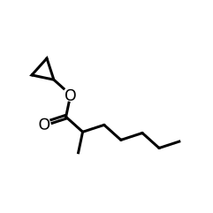 CCCCCC(C)C(=O)OC1CC1